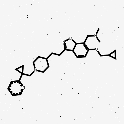 CN(C)CC1=C(OCC2CC2)C=CC2C(CCC3CCN(CC4(c5ccccn5)CC4)CC3)=NOC12